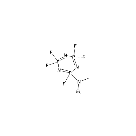 CCN(C)P1(F)=NP(F)(F)=NP(F)(F)=N1